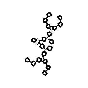 c1ccc(-c2cccc(-c3ccc4c(c3)c3cc(-c5cccc(-c6ccccc6)c5)ccc3n4-c3ccc(N(c4ccccc4)c4ccc(-c5nc6ccccc6nc5-c5ccc(N(c6ccccc6)c6ccc(-n7c8ccc(-c9cccc(-c%10ccccc%10)c9)cc8c8cc(-c9cccc(-c%10ccccc%10)c9)ccc87)cc6)cc5)cc4)cc3)c2)cc1